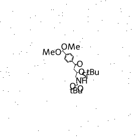 COC(OC)c1ccc(C(=O)CC(CNC(=O)OC(C)(C)C)O[Si](C)(C)C(C)(C)C)cc1